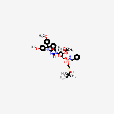 CCC(C)(C)C(=O)SCCOP(=O)(NCc1ccccc1)OC[C@H]1OC(n2ccc(NC(c3ccccc3)(c3ccc(OC)cc3)c3ccc(OC)cc3)nc2=O)[C@@](C)(OC(C)=O)C1OC(C)=O